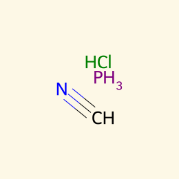 C#N.Cl.P